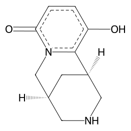 O=c1ccc(O)c2n1C[C@@H]1CNC[C@H]2C1